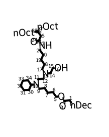 CCCCCCCCCCCC(=O)OCCCCCN(CCN(CCO)CCCCCNC(=O)CC(CCCCCCCC)CCCCCCCC)C1CCCCC1